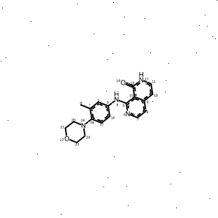 Cc1cc(Nc2nccc3cc[nH]c(=O)c23)ccc1N1CCOCC1